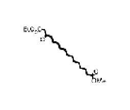 CCOC(=O)CC(=O)CCCCCCCCCCCCC(=O)OC